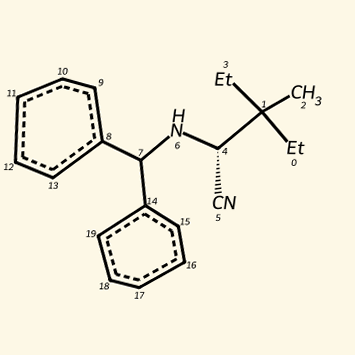 CCC(C)(CC)[C@H](C#N)NC(c1ccccc1)c1ccccc1